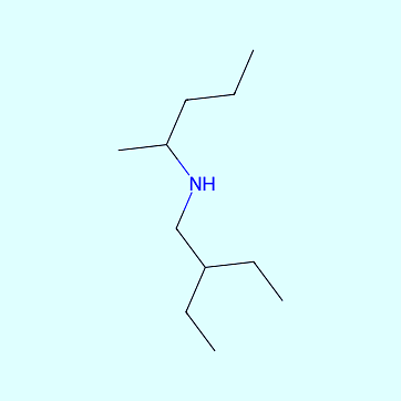 CCCC(C)NCC(CC)CC